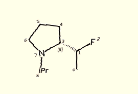 CC(F)[C@H]1CCCN1C(C)C